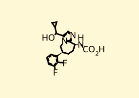 O=C(O)N[C@@H]1CC[C@@H](c2cccc(F)c2F)Cn2c(C(O)C3CC3)cnc21